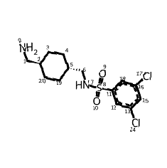 NC[C@H]1CC[C@H](CNS(=O)(=O)c2cc(Cl)cc(Cl)c2)CC1